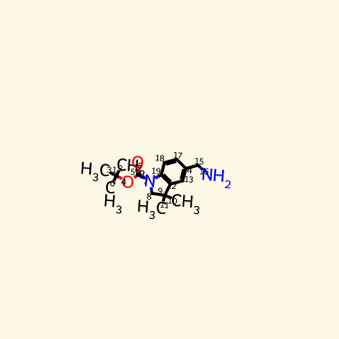 CC(C)(C)OC(=O)N1CC(C)(C)c2cc(CN)ccc21